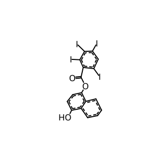 O=C(Oc1ccc(O)c2ccccc12)c1c(I)cc(I)c(I)c1I